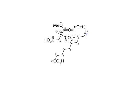 CCCCCCCC/C=C\CCCCCCCC(=O)O.COC(=O)C(C)(CC(=O)O)C(=O)O